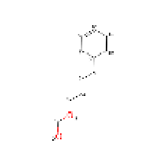 O=COCCCCC1CC=CCC1